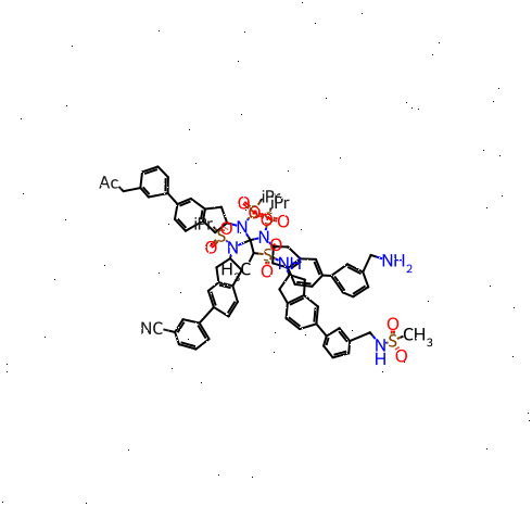 CC(=O)Cc1cccc(-c2ccc3c(c2)CC(N(C(C(C)S(=O)(=O)NC2Cc4ccc(-c5cccc(CNS(C)(=O)=O)c5)cc4C2)(N(C2Cc4ccc(-c5cccc(C#N)c5)cc4C2)S(=O)(=O)C(C)C)N(C2Cc4ccc(-c5cccc(CN)c5)cc4C2)S(=O)(=O)C(C)C)S(=O)(=O)C(C)C)C3)c1